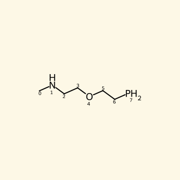 CNCCOCCP